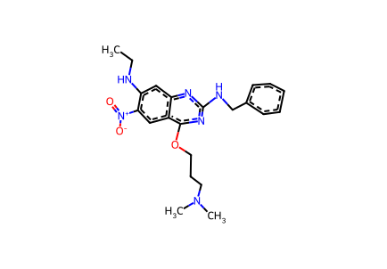 CCNc1cc2nc(NCc3ccccc3)nc(OCCCN(C)C)c2cc1[N+](=O)[O-]